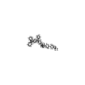 CCOc1ccc(-c2ccc(-c3nnc(-c4ccc(N(c5ccccc5)c5ccc6c(c5)c5ccccc5n6-c5ccccc5)cc4)o3)cc2)cc1